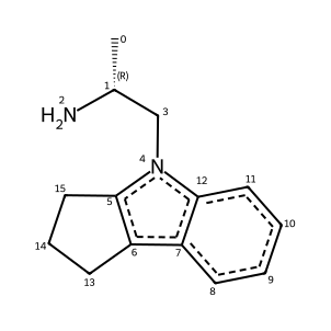 C[C@@H](N)Cn1c2c(c3ccccc31)CCC2